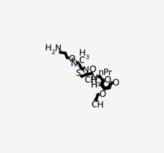 C#CCOc1cc(C(CCC)NC(=O)C2(C)CSC(/C(C)=N/OCCCN)=N2)oc(=O)c1